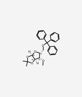 CO[C@@H]1[C@H]2OC(C)(C)O[C@H]2O[C@@H]1COC(C1=CC=C=C=C1)(c1ccccc1)c1ccccc1